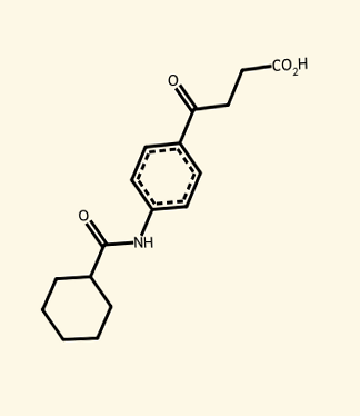 O=C(O)CCC(=O)c1ccc(NC(=O)C2CCCCC2)cc1